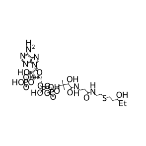 CCC(O)CCSCCNC(=O)CCNC(=O)C(O)C(C)(C)COP(=O)(O)OP(=O)(O)OC[C@H]1O[C@@H](n2cnc3c(N)ncnc32)[C@H](O)[C@@H]1OP(=O)(O)O